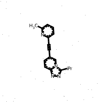 Cc1cccc(C#Cc2ccc3nnc(C(C)C)n3c2)n1